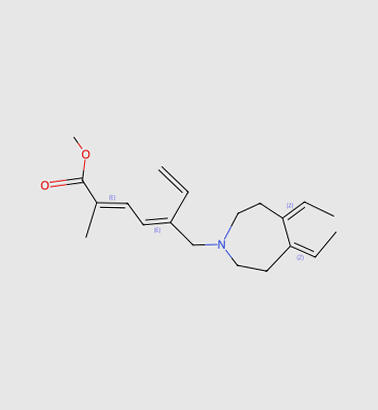 C=C/C(=C\C=C(/C)C(=O)OC)CN1CCC(=C/C)/C(=C\C)CC1